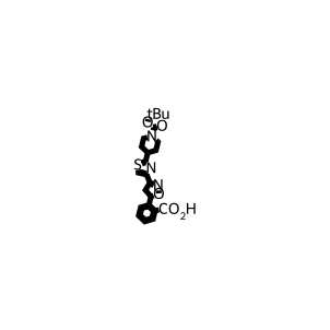 CC(C)(C)OC(=O)N1CCC(c2nc(C3=NOC(c4ccccc4C(=O)O)C3)cs2)CC1